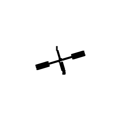 C#CP(=S)(I)C#C